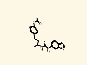 CC(=O)Oc1ccc(CCC(C)NC(=O)Nc2ccc3ncsc3c2)cc1